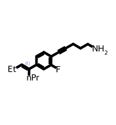 CC/C=C(\CCC)c1ccc(C#CCCCN)c(F)c1